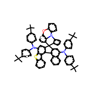 CC(C)(C)c1ccc(N(c2ccc(C(C)(C)C)cc2)c2cc3c(c4ccccc24)-c2c(cc(N(c4ccc(C(C)(C)C)cc4)c4ccc(C(C)(C)C)cc4)c4sc5ccccc5c24)C32c3ccccc3N3c4ccccc4Oc4cccc2c43)cc1